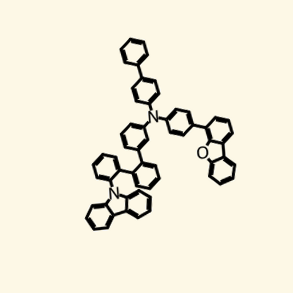 c1ccc(-c2ccc(N(c3ccc(-c4cccc5c4oc4ccccc45)cc3)c3cccc(-c4ccccc4-c4ccccc4-n4c5ccccc5c5ccccc54)c3)cc2)cc1